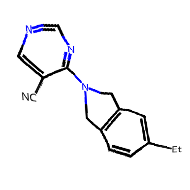 CCc1ccc2c(c1)CN(c1ncncc1C#N)C2